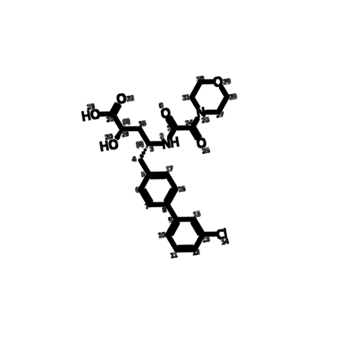 O=C(N[C@H](Cc1ccc(-c2cccc(Cl)c2)cc1)C[C@@H](O)C(=O)O)C(=O)N1CCOCC1